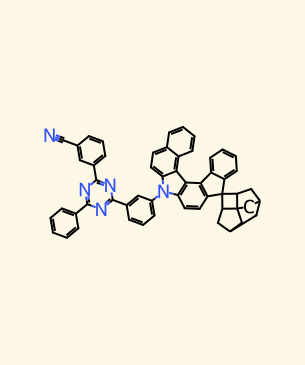 N#Cc1cccc(-c2nc(-c3ccccc3)nc(-c3cccc(-n4c5ccc6c(c5c5c7ccccc7ccc54)-c4ccccc4C64C5CC6CC7CC4C5(C6)C7)c3)n2)c1